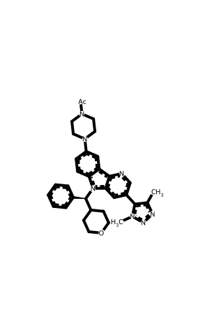 CC(=O)N1CCN(c2ccc3c(c2)c2ncc(-c4c(C)nnn4C)cc2n3[C@H](c2ccccc2)C2CCOCC2)CC1